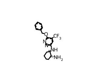 N[C@@H]1CCCC[C@H]1Nc1cc(C(F)(F)F)c(OCc2ccccc2)nn1